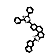 c1ccc(C2=NC(c3ccc4c(ccc5ccc6c(c54)NC(c4ccc5ccccc5c4)S6)c3)=NC(c3ccccc3)N2)cc1